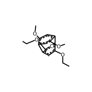 CCOc1[c]c2c(OCC)[c]c1-c1cc(OC)c-2cc1OC